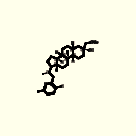 COC[C@@]1(O)CC[C@H]2[C@H](CC[C@@H]3[C@@H]2CC[C@]2(C)C([C@@H](C)Cc4nc(C)ccc4Cl)CC[C@@H]32)C1